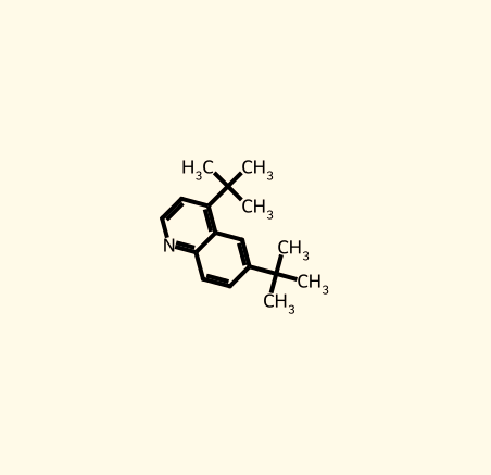 CC(C)(C)c1ccc2nccc(C(C)(C)C)c2c1